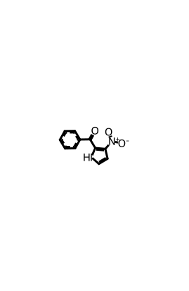 O=C(C1=C([N+](=O)[O-])C=C[IH]1)c1ccccc1